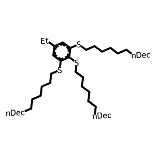 CCCCCCCCCCCCCCCCSc1cc(CC)cc(SCCCCCCCCCCCCCCCC)c1SCCCCCCCCCCCCCCCC